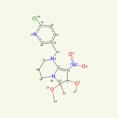 COC1C([N+](=O)[O-])=C2N(Cc3ccc(Cl)nc3)CCCN2C1(C)OC